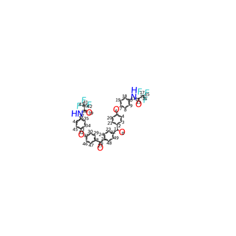 O=C(c1ccc(Oc2ccc(NC(=O)C(F)(F)F)cc2)cc1)c1ccc(C(=O)c2ccc(Oc3ccc(NC(=O)C(F)(F)F)cc3)cc2)cc1